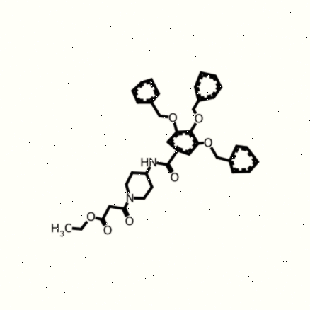 CCOC(=O)CC(=O)N1CCC(NC(=O)c2cc(OCc3ccccc3)c(OCc3ccccc3)c(OCc3ccccc3)c2)CC1